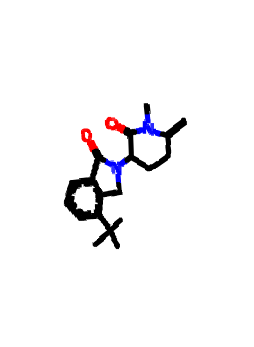 C=C1CCC(N2Cc3c(cccc3C(C)(C)C)C2=O)C(=O)N1C